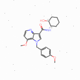 COc1ccc(Cn2cc(C(=O)N[C@H]3CCCC[C@@H]3O)c3nccc(OC)c32)cc1